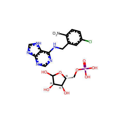 O=P(O)(O)OC[C@H]1OC(O)[C@H](O)[C@@H]1O.O=[N+]([O-])c1ccc(Cl)cc1CNc1ncnc2nc[nH]c12